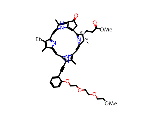 CCC1=C(C)c2cc3[nH]c(cc4nc(c5c6[nH]c(cc1n2)c(C)c6C(=O)C5)[C@@H](CCC(=O)OC)[C@@H]4C)c(C)c3C#Cc1ccccc1OCCOCCOCCOC